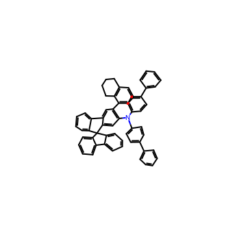 c1ccc(-c2ccc(N(c3ccc(-c4ccccc4)cc3)c3cc4c(cc3-c3cccc5c3CCCC5)-c3ccccc3C43c4ccccc4-c4ccccc43)cc2)cc1